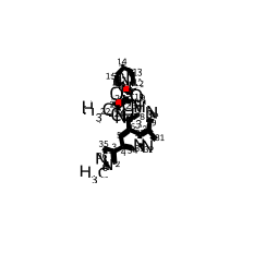 Cn1cc(-c2cc(-c3cnc(N4CC5CC(C4)N5C(=O)OC(C)(C)C)cn3)c3c(C#N)cnn3c2)cn1